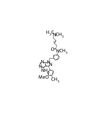 COc1cc(-c2nn(Cc3cccc(N(C)C(=O)C/C=C/CN(C)C)c3)c3ncnc(N)c23)ccc1C